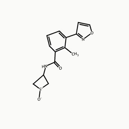 Cc1c(C(=O)NC2C[S+]([O-])C2)cccc1-c1ccon1